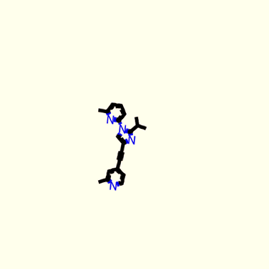 Cc1cc(C#Cc2cn(-c3cccc(C)n3)c(C(C)C)n2)ccn1